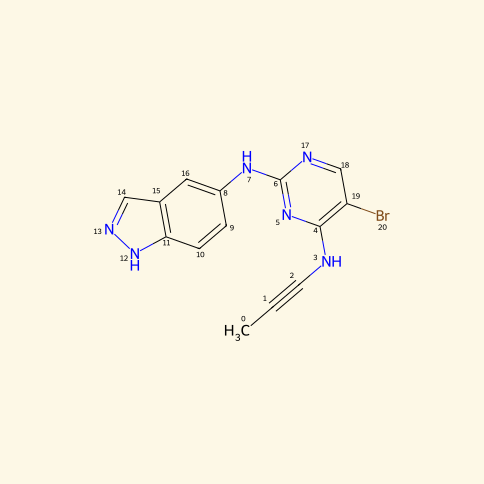 CC#CNc1nc(Nc2ccc3[nH]ncc3c2)ncc1Br